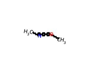 CCCCCCCOc1ccc(-c2ccc(-c3ccc(CCCCC)cn3)cc2)cc1